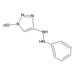 On1cc(NNc2ccccc2)nn1